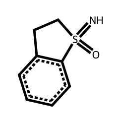 N=S1(=O)CCc2ccccc21